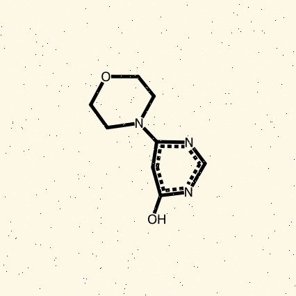 Oc1cc(N2CCOCC2)ncn1